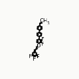 CCCC1CCC(c2ccc(-c3ccc(OCCCc4cc(F)c(F)c(F)c4)c(F)c3F)cc2)CC1